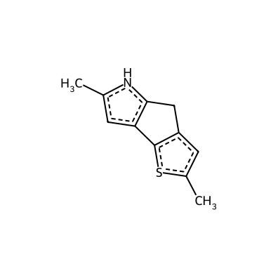 Cc1cc2c([nH]1)Cc1cc(C)sc1-2